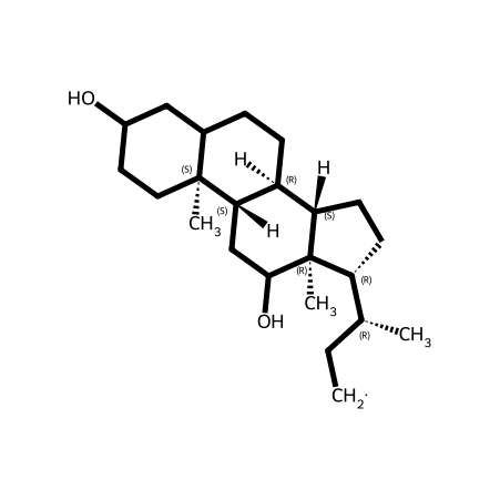 [CH2]C[C@@H](C)[C@H]1CC[C@H]2[C@@H]3CCC4CC(O)CC[C@]4(C)[C@H]3CC(O)[C@]12C